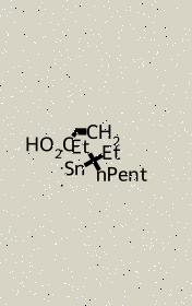 C=CC(=O)O.CCCCC[C]([Sn])(CC)CC